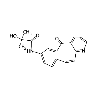 CC(O)(C(=O)Nc1ccc2ccc3ncccc3c(=O)c2c1)C(F)(F)F